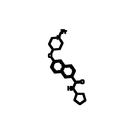 CC(C)N1CCC(Oc2ccc3cc(C(=O)NC4CCCC4)ccc3c2)CC1